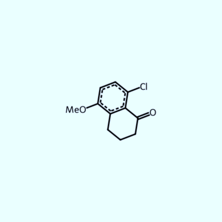 COc1ccc(Cl)c2c1CCCC2=O